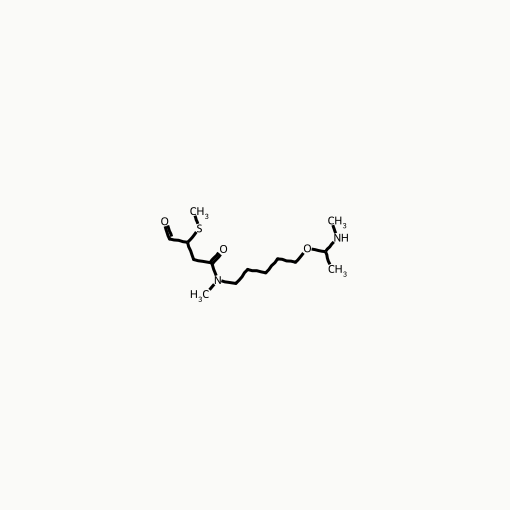 CNC(C)OCCCCCN(C)C(=O)CC(C=O)SC